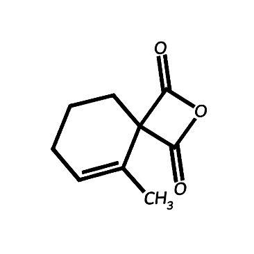 CC1=CCCCC12C(=O)OC2=O